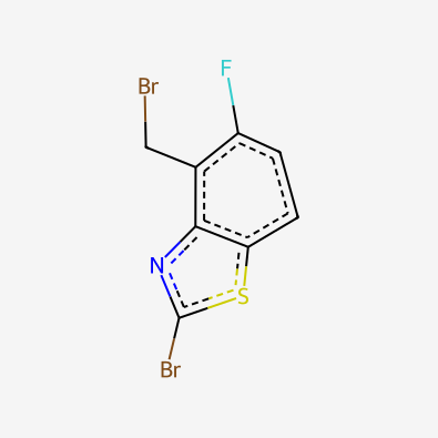 Fc1ccc2sc(Br)nc2c1CBr